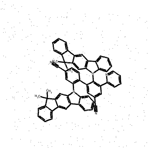 CC1(C)c2ccccc2-c2cc3c4ccccc4n(-c4cc(C#N)ccc4-c4cc(C#N)cc(-c5ccccn5)c4-n4c5ccccc5c5cc6c(cc54)C(C)(C)c4ccccc4-6)c3cc21